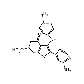 Cc1ccc(Nc2c(-c3ccnc(N)c3)[nH]c3c2C(=O)CN(C(=O)O)C3)cc1